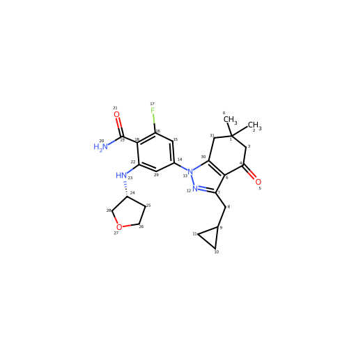 CC1(C)CC(=O)c2c(CC3CC3)nn(-c3cc(F)c(C(N)=O)c(N[C@@H]4CCOC4)c3)c2C1